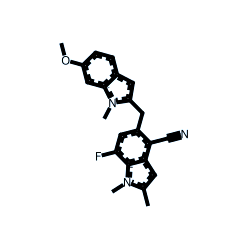 COc1ccc2cc(Cc3cc(F)c4c(cc(C)n4C)c3C#N)n(C)c2c1